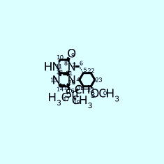 CO[C@H]1CC[C@H](CN2C(=O)CNc3nc[c]([Sn]([CH3])([CH3])[CH3])nc32)CC1